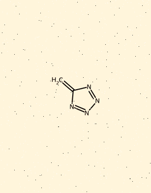 C=C1N=NN=N1